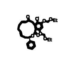 CCOCOc1cc(OCOCC)c2c(c1Cl)CC(=O)/C=C/CC/C=C/C[C@@H](c1ccccc1)OC2=O